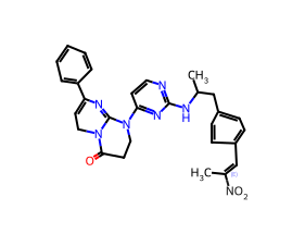 C/C(=C\c1ccc(CC(C)Nc2nccc(N3CCC(=O)N4CC=C(c5ccccc5)N=C43)n2)cc1)[N+](=O)[O-]